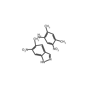 Cc1cc(C)c([N+](=O)[O-])cc1N.Cc1cc2cn[nH]c2cc1[N+](=O)[O-]